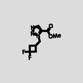 COC(=O)c1cnnn1CC1CC(F)(F)C1